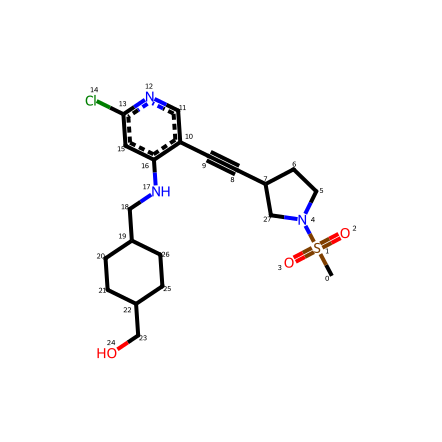 CS(=O)(=O)N1CCC(C#Cc2cnc(Cl)cc2NCC2CCC(CO)CC2)C1